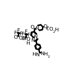 N=C(N)c1ccc(-c2cn3cc(C(=O)N4CCC(OC(=O)O)CC4)ccc3n2)cc1.O=C(O)C(F)(F)F.O=C(O)C(F)(F)F